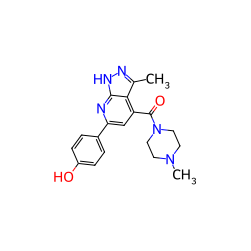 Cc1n[nH]c2nc(-c3ccc(O)cc3)cc(C(=O)N3CCN(C)CC3)c12